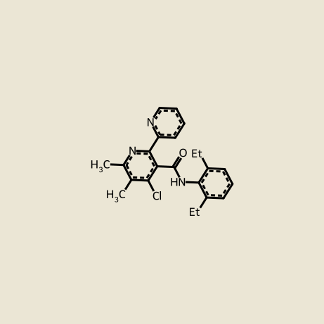 CCc1cccc(CC)c1NC(=O)c1c(-c2ccccn2)nc(C)c(C)c1Cl